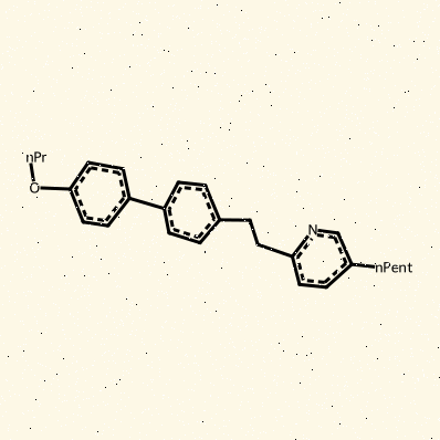 CCCCCc1ccc(CCc2ccc(-c3ccc(OCCC)cc3)cc2)nc1